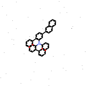 c1ccc(-c2ccccc2N(c2ccccc2)c2cc(-c3ccc4ccccc4c3)ccc2-c2ccccc2)cc1